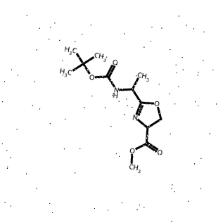 COC(=O)C1COC(C(C)NC(=O)OC(C)(C)C)=N1